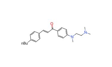 CCCCc1ccc(C=CC(=O)c2ccc(N(C)CCN(C)C)cc2)cc1